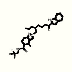 CCCC(CCCC(=O)c1cc2ccccc2[nH]1)Cn1cc2c(C)c(C(=P)NCC(F)(F)F)ccc2n1